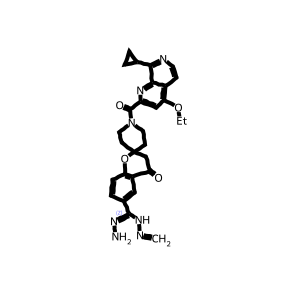 C=NN/C(=N\N)c1ccc2c(c1)C(=O)CC1(CCN(C(=O)c3cc(OCC)c4ccnc(C5CC5)c4n3)CC1)O2